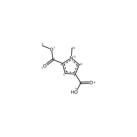 COC(=O)c1cc(C(=O)O)cn1C